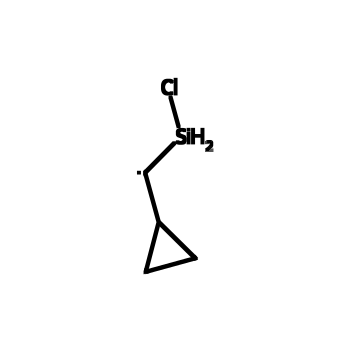 Cl[SiH2][CH]C1CC1